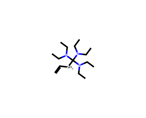 C=C[SiH2]C(N(CC)CC)(N(CC)CC)N(CC)CC